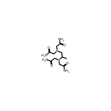 CC(CN(CC(N)=O)CC(N)=O)N(CC(N)=O)CC(N)=O